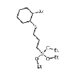 CCO[Si](CCCSC1CCCCC1C(C)=O)(OCC)OCC